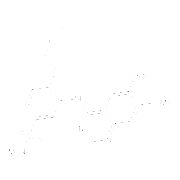 CNS(=O)(=O)c1ccc(OCC(F)(F)F)c(Nc2ncnc3cc(OC)c(OC)cc23)c1.Cl